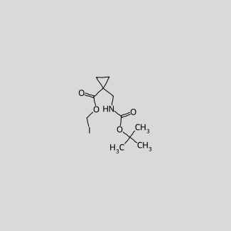 CC(C)(C)OC(=O)NCC1(C(=O)OCI)CC1